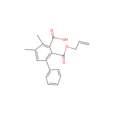 C=CCOC(=O)c1c(-c2ccccc2)cc(C)c(C)c1C(=O)O